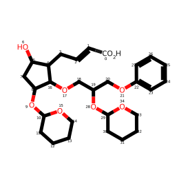 O=C(O)/C=C/CC1C(O)CC(OC2CCCCO2)C1OCC(COc1ccccc1)OC1CCCCO1